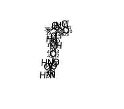 O=C(NS(=O)(=O)c1cn[nH]c1)c1ccc(N2C[C@@H]3C[C@H]2C[C@H]3OCc2c(-c3c(Cl)cccc3Cl)noc2C2CC2)cc1